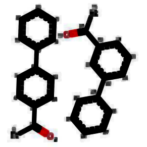 CCC(=O)c1ccc(-c2ccccc2)cc1.CCC(=O)c1cccc(-c2ccccc2)c1